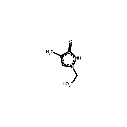 Cc1cn(CC(=O)O)[nH]c1=O